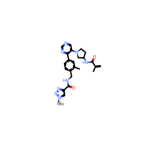 C=C(C)C(=O)NC1CCN(c2cncnc2-c2ccc(CNC(=O)c3cn(C(C)(C)C)nn3)c(C)c2)C1